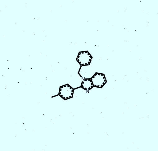 Cc1ccc(-c2nc3ccccc3n2Cc2ccccc2)cc1